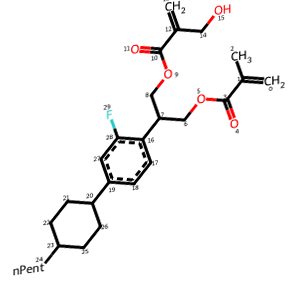 C=C(C)C(=O)OCC(COC(=O)C(=C)CO)c1ccc(C2CCC(CCCCC)CC2)cc1F